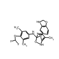 CC1=C2NOC(Nc3cc(C)c(OC(F)F)c(C)c3)(N=C1)N2c1ccc2c(c1)NCO2